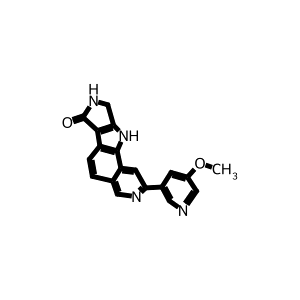 COc1cncc(-c2cc3c(ccc4c5c([nH]c43)CNC5=O)cn2)c1